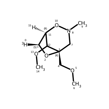 [3H][C@@H]1O[C@@]2(COC)CN(C)O[C@H]1C2OC